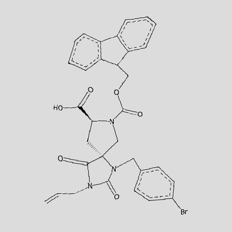 C=CCN1C(=O)N(Cc2ccc(Br)cc2)[C@@]2(C[C@@H](C(=O)O)N(C(=O)OCC3c4ccccc4-c4ccccc43)C2)C1=O